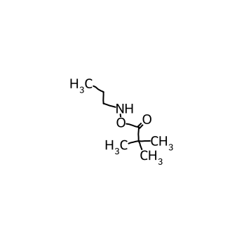 CCCNOC(=O)C(C)(C)C